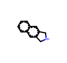 c1ccc2cc3c(cc2c1)CNC3